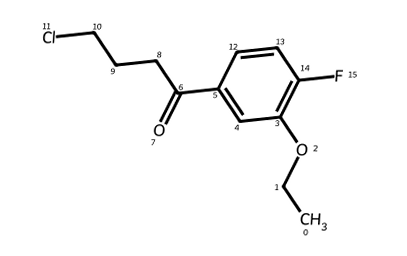 CCOc1cc(C(=O)CCCCl)ccc1F